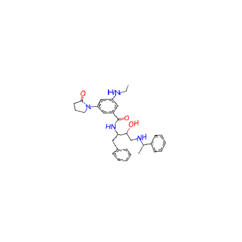 CCNc1cc(C(=O)NC(Cc2ccccc2)C(O)CNC(C)c2ccccc2)cc(N2CCCC2=O)c1